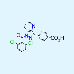 O=C(O)c1ccc(-c2nn(C(=O)c3c(Cl)cccc3Cl)c3c2N=CCC3)cc1